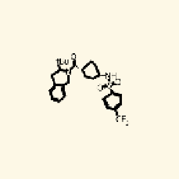 CC(C)(C)C1Cc2ccccc2CN1C(=O)[C@H]1CC[C@H](NS(=O)(=O)c2ccc(C(F)(F)F)cc2)CC1